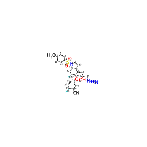 Cc1ccc(S(=O)(=O)n2ccc3c(CC(O)CN=[N+]=[N-])c(Oc4ccc(F)c(C#N)c4)c(F)cc32)cc1